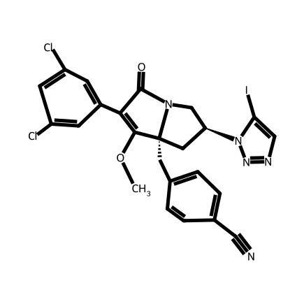 COC1=C(c2cc(Cl)cc(Cl)c2)C(=O)N2C[C@@H](n3nncc3I)C[C@@]12Cc1ccc(C#N)cc1